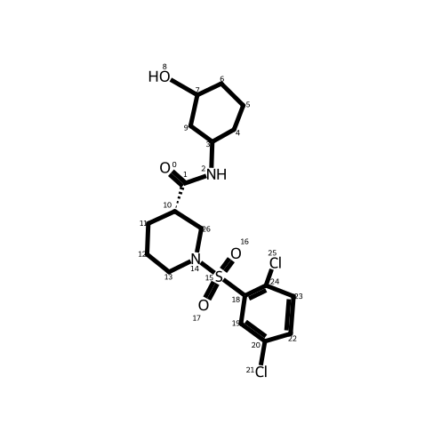 O=C(NC1CCCC(O)C1)[C@H]1CCCN(S(=O)(=O)c2cc(Cl)ccc2Cl)C1